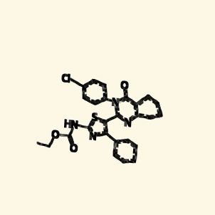 CCOC(=O)Nc1nc(-c2ccccc2)c(-c2nc3ccccc3c(=O)n2-c2ccc(Cl)cc2)s1